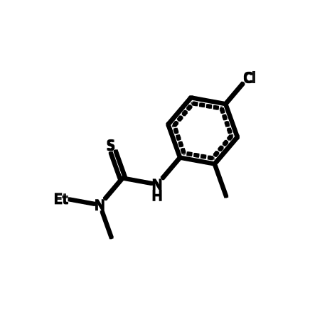 CCN(C)C(=S)Nc1ccc(Cl)cc1C